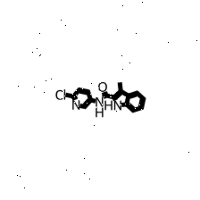 Cc1c(C(=O)Nc2ccc(Cl)nc2)[nH]c2ccccc12